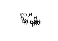 Cc1ccc2nc(-c3ccc(-c4cnc(OC5CCC(CC(=O)O)CC5)nc4)cc3F)[nH]c2n1